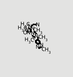 CC[C@@H]1CN(c2nc(=O)n(C)c3c2nc(CC#N)n3C)[C@@H](C)CN1C(C)c1ccc2ncc(C)nc2c1